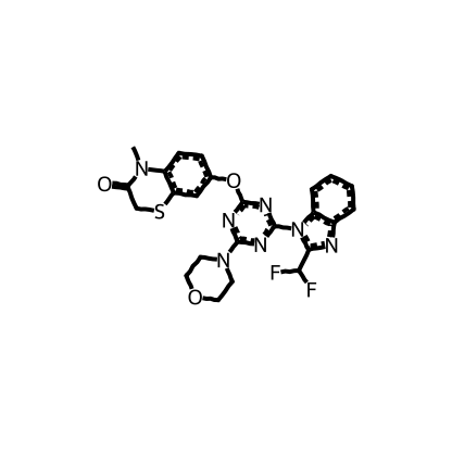 CN1C(=O)CSc2cc(Oc3nc(N4CCOCC4)nc(-n4c(C(F)F)nc5ccccc54)n3)ccc21